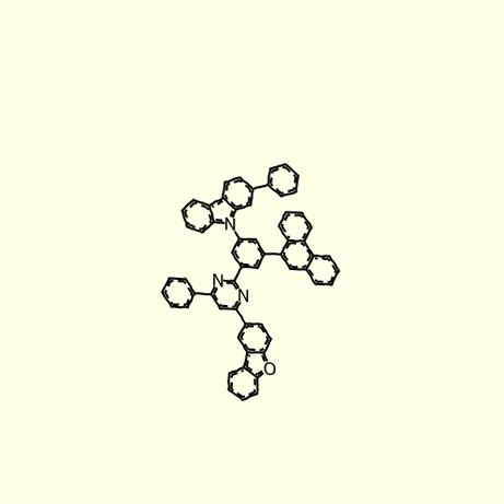 c1ccc(-c2ccc3c4ccccc4n(-c4cc(-c5nc(-c6ccccc6)cc(-c6ccc7oc8ccccc8c7c6)n5)cc(-c5cc6ccccc6c6ccccc56)c4)c3c2)cc1